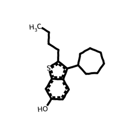 CCCCc1sc2cc(O)ccc2c1C1CCCCCC1